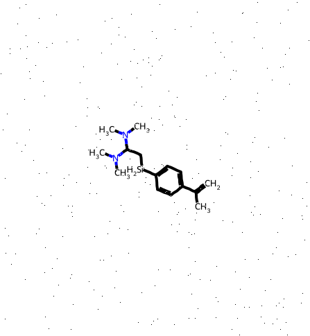 C=C(C)c1ccc([SiH2]CC(N(C)C)N(C)C)cc1